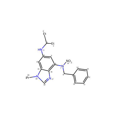 CCC(CC)Nc1cc(N(Cc2ccccc2)[N+](=O)[O-])c2ncn(C(C)C)c2c1